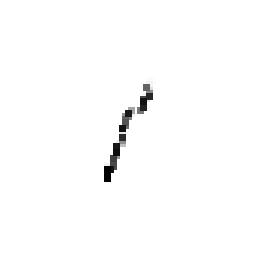 CCCC/C=C\C=C/CCCCCCCI